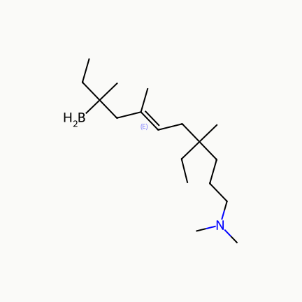 BC(C)(CC)C/C(C)=C/CC(C)(CC)CCCN(C)C